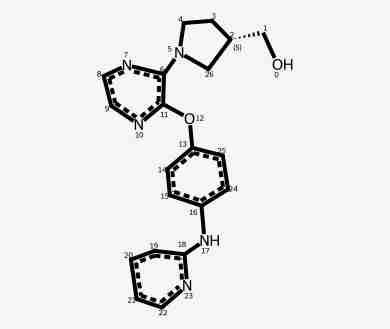 OC[C@H]1CCN(c2nccnc2Oc2ccc(Nc3ccccn3)cc2)C1